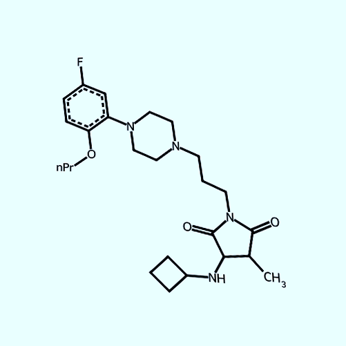 CCCOc1ccc(F)cc1N1CCN(CCCN2C(=O)C(C)C(NC3CCC3)C2=O)CC1